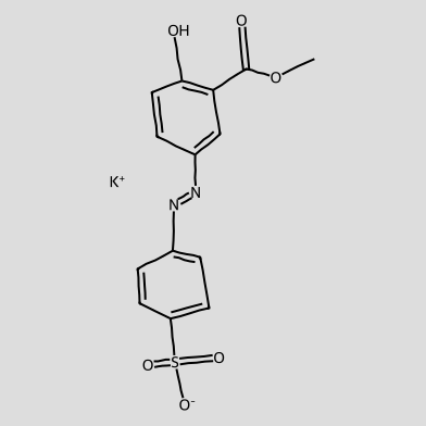 COC(=O)c1cc(/N=N/c2ccc(S(=O)(=O)[O-])cc2)ccc1O.[K+]